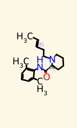 C/C=C/CCN1CCCC[C@H]1C(=O)Nc1c(C)cccc1C